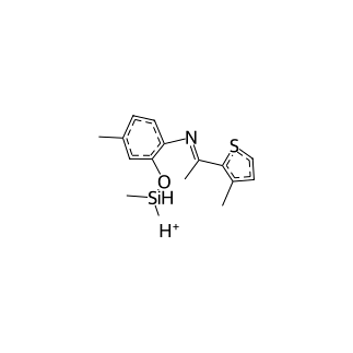 CC(=Nc1ccc(C)cc1O[SiH](C)C)c1sccc1C.[H+]